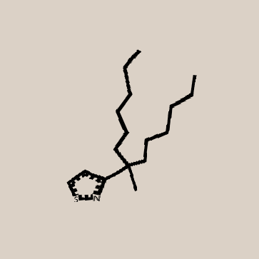 CCCCCCC(C)(CCCCCC)c1ccsn1